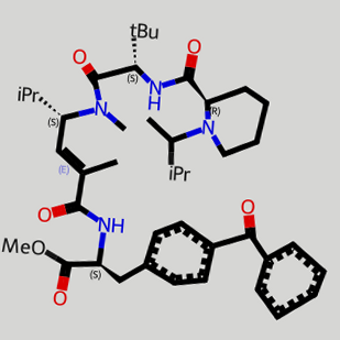 COC(=O)[C@H](Cc1ccc(C(=O)c2ccccc2)cc1)NC(=O)/C(C)=C/[C@H](C(C)C)N(C)C(=O)[C@@H](NC(=O)[C@H]1CCCCN1C(C)C(C)C)C(C)(C)C